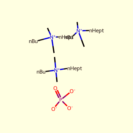 CCCCCCC[N+](C)(C)CCCC.CCCCCCC[N+](C)(C)CCCC.CCCCCCC[N+](C)(C)CCCC.O=P([O-])([O-])[O-]